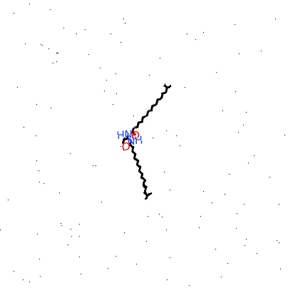 CC[C](NC(=O)CCCCCCCCCCCCCCC(C)C)NC(=O)CCCCCCCCCCCCCCC(C)C